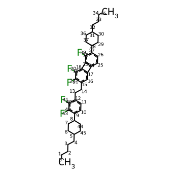 CCCCCC1CCC(c2ccc(CCc3cc4c(c(F)c3F)-c3c-4ccc(C4CCC(CCCC)CC4)c3F)c(F)c2F)CC1